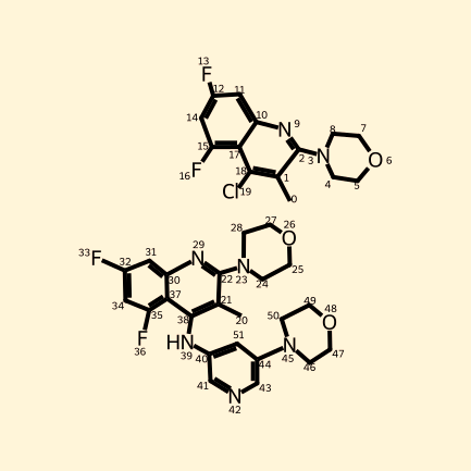 Cc1c(N2CCOCC2)nc2cc(F)cc(F)c2c1Cl.Cc1c(N2CCOCC2)nc2cc(F)cc(F)c2c1Nc1cncc(N2CCOCC2)c1